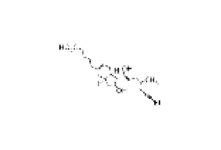 CCC#CCC(C)CC=C(O)[C@H]1[C@@H]2CC=C(CCCCC(=O)O)C[C@@H]2C[C@@H]1O